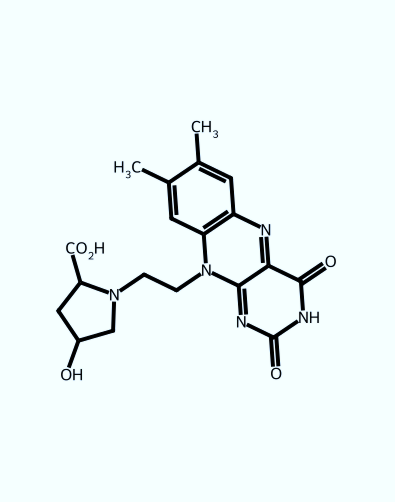 Cc1cc2nc3c(=O)[nH]c(=O)nc-3n(CCN3CC(O)CC3C(=O)O)c2cc1C